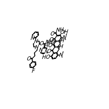 CN(C)c1ccc(O)c2c1C[C@H]1C[C@H]3[C@H](N(C)C)C(O)=C(C(N)=O)C(=O)[C@@]3(O)C(O)=C1C2=O.NC(=O)c1cnccn1.O=C(CCCN1CCN(c2ccccn2)CC1)c1ccc(F)cc1